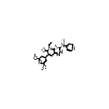 CCn1c(=O)c(-c2cc(OC)nc(OC)c2)cc2nnc(Nc3ccncc3)nc21